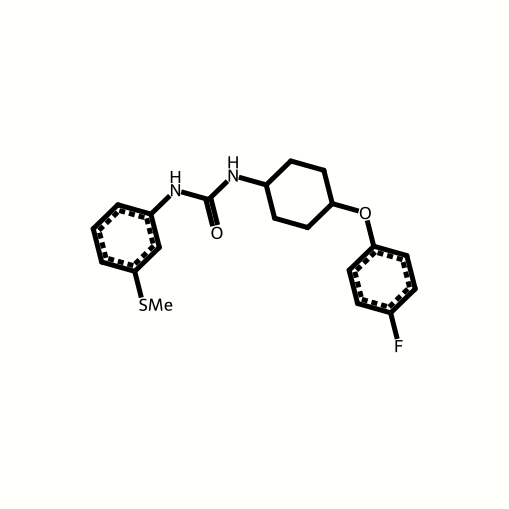 CSc1cccc(NC(=O)NC2CCC(Oc3ccc(F)cc3)CC2)c1